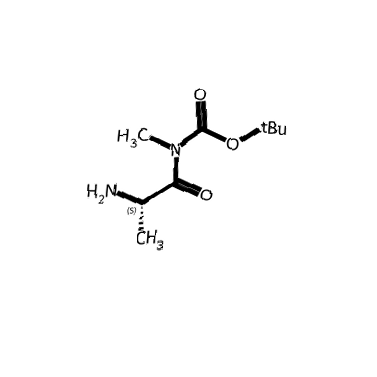 C[C@H](N)C(=O)N(C)C(=O)OC(C)(C)C